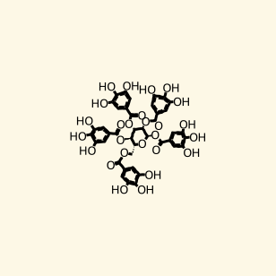 O=C(OC[C@H]1O[C@H](OC(=O)c2cc(O)c(O)c(O)c2)[C@H](OC(=O)c2cc(O)c(O)c(O)c2)[C@@H](OC(=O)c2cc(O)c(O)c(O)c2)[C@@H]1OC(=O)c1cc(O)c(O)c(O)c1)c1cc(O)c(O)c(O)c1